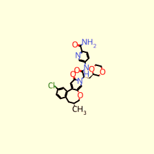 C[C@H]1COc2cn([C@@H](C[C@@H]3COCCO3)C(=O)Nc3ccc(C(N)=O)nc3)c(=O)cc2-c2cc(Cl)ccc2C1